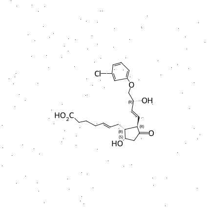 O=C(O)CCCC=CC[C@H]1[C@@H](O)CC(=O)[C@@H]1C=C[C@@H](O)COc1cccc(Cl)c1